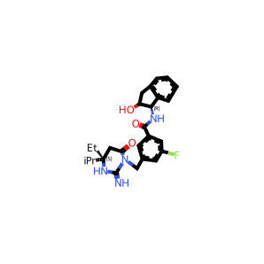 CC[C@@]1(C(C)C)CC(=O)N(Cc2cc(F)cc(C(=O)N[C@@H]3c4ccccc4CC3O)c2)C(=N)N1